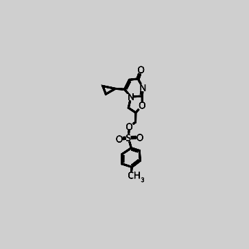 Cc1ccc(S(=O)(=O)OCC2Cn3c(C4CC4)cc(=O)nc3O2)cc1